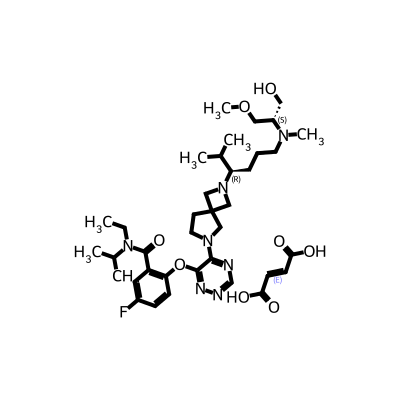 CCN(C(=O)c1cc(F)ccc1Oc1nncnc1N1CCC2(C1)CN([C@H](CCCN(C)[C@@H](CO)COC)C(C)C)C2)C(C)C.O=C(O)/C=C/C(=O)O